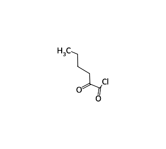 CCCCC(=O)C(=O)Cl